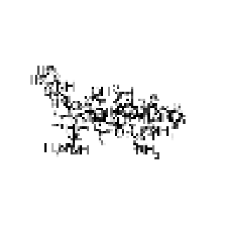 CC[C@H](C)[C@H](NC(=O)[C@H](CCCNC(=N)N)NC(=O)[C@H](CC(=O)O)NC(=O)[C@H](CC(C)C)NC(=O)[C@H](CCCCN)NC(=O)[C@H](CC(C)C)NC(=O)CNC(=O)[C@H](Cc1ccccc1)NC(=O)[C@@H](N)CS)C(=O)NCC(=O)N[C@@H](CO)C(=O)O